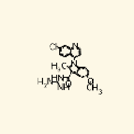 COc1ccc2c(c1)c(C(=O)NC(=N)N)c(C)n2-c1ccnc2cc(Cl)ccc12